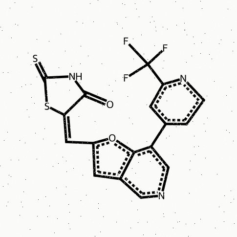 O=C1NC(=S)SC1=Cc1cc2cncc(-c3ccnc(C(F)(F)F)c3)c2o1